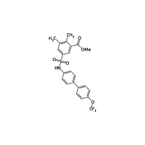 COC(=O)c1cc(S(=O)(=O)Nc2ccc(-c3ccc(OC(F)(F)F)cc3)cc2)cc(C)c1C